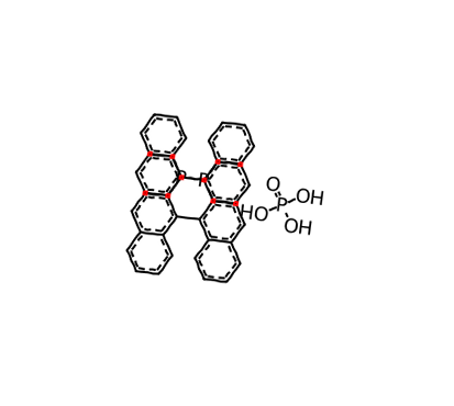 O=P(O)(O)O.c1ccc(P(c2ccccc2)c2ccc3ccccc3c2-c2c(P(c3ccccc3)c3ccccc3)ccc3ccccc23)cc1